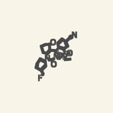 CCS(=O)(=O)c1cc(C#N)ccc1[C@H]1NC(=O)N(c2cccc(CF)c2)C2=C1C(=O)CCC2